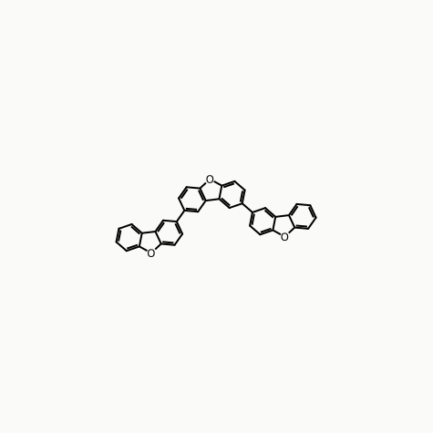 c1ccc2c(c1)oc1ccc(-c3ccc4oc5ccc(-c6ccc7oc8ccccc8c7c6)cc5c4c3)cc12